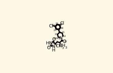 C[C@@H](C[C@@]1(C)NC(=O)NC1=O)C(=O)N1CCC(c2cc(Cl)cc(Cl)c2)CC1